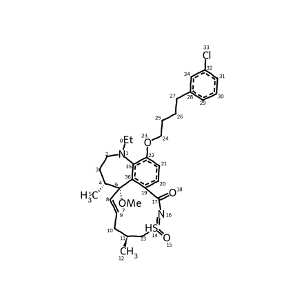 CCN1CC[C@@H](C)[C@]2(OC)/C=C/C[C@H](C)C/[SH](=O)=N\C(=O)c3ccc(OCCCCc4cccc(Cl)c4)c1c32